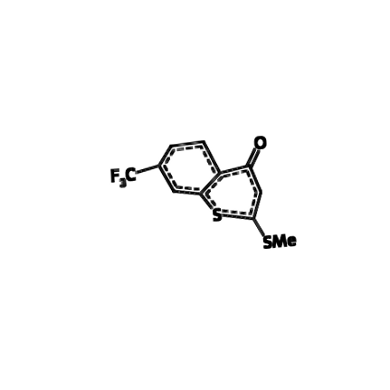 CSc1cc(=O)c2ccc(C(F)(F)F)cc2s1